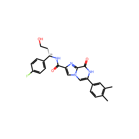 Cc1ccc(-c2cn3cc(C(=O)N[C@@H](CCO)c4ccc(F)cc4)nc3c(=O)[nH]2)cc1C